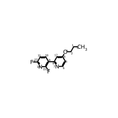 CCCOc1ccnc(-c2ccc(F)nc2F)c1